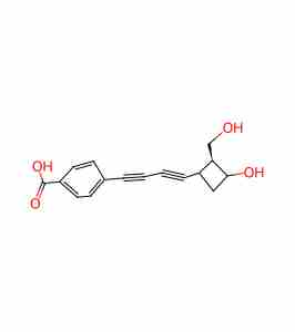 O=C(O)c1ccc(C#CC#CC2CC(O)[C@@H]2CO)cc1